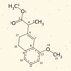 COC(=O)C(C)C1=Cc2c(cccc2OC)CC1